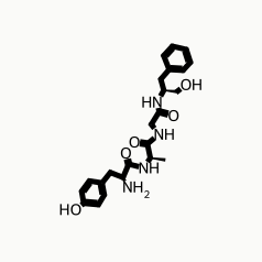 C[C@@H](NC(=O)[C@@H](N)Cc1ccc(O)cc1)C(=O)NCC(=O)N[C@H](CO)Cc1ccccc1